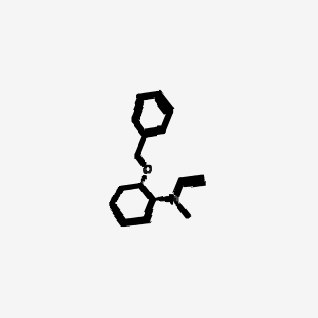 C=CN(C)[C@H]1CCCC[C@@H]1OCc1ccccc1